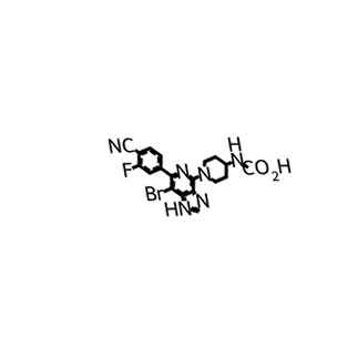 N#Cc1ccc(-c2nc(N3CCC(NC(=O)O)CC3)c3nc[nH]c3c2Br)cc1F